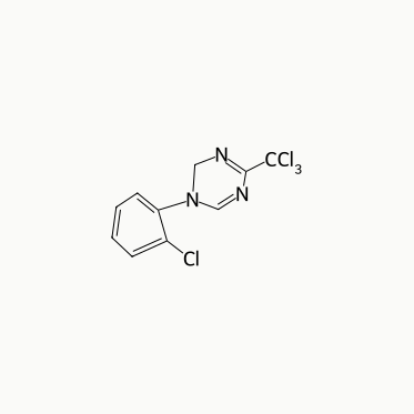 Clc1ccccc1N1C=NC(C(Cl)(Cl)Cl)=NC1